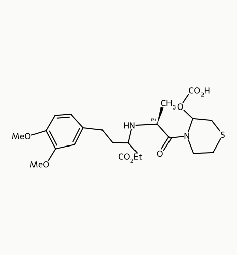 CCOC(=O)C(CCc1ccc(OC)c(OC)c1)N[C@@H](C)C(=O)N1CCSCC1OC(=O)O